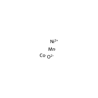 [Co].[Mn].[Ni+2].[O-2]